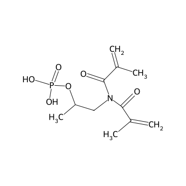 C=C(C)C(=O)N(CC(C)OP(=O)(O)O)C(=O)C(=C)C